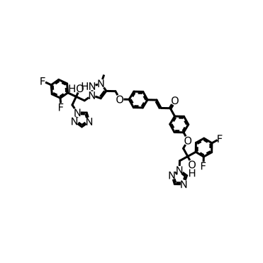 CN1NN(CC(O)(Cn2cncn2)c2ccc(F)cc2F)C=C1COc1ccc(/C=C/C(=O)c2ccc(OCC(O)(Cn3cncn3)c3ccc(F)cc3F)cc2)cc1